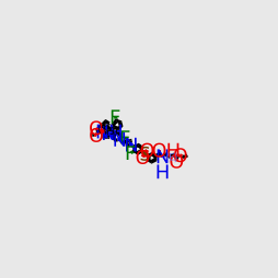 CCOC(=O)/C=C/CNC(O)c1cccc(S(=O)(=O)c2ccc(N3CC(F)(CN4CCC([C@@](c5cccc(F)c5)([C@H]5CCC[C@@H]5NC(=O)OC)N5CCC5)CC4)C3)c(F)c2)c1